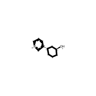 O[C@H]1CCC[C@H](c2cccnc2)C1